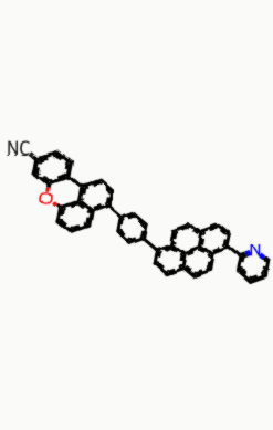 N#Cc1ccc2c(c1)Oc1cccc3c(-c4ccc(-c5ccc6ccc7c(-c8ccccn8)ccc8ccc5c6c87)cc4)ccc-2c13